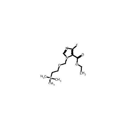 CCOC(=O)c1c(F)ncn1COCC[Si](C)(C)C